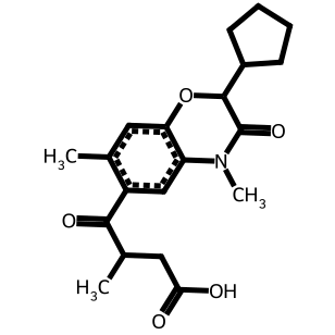 Cc1cc2c(cc1C(=O)C(C)CC(=O)O)N(C)C(=O)C(C1CCCC1)O2